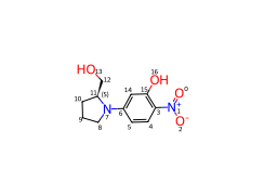 O=[N+]([O-])c1ccc(N2CCC[C@H]2CO)cc1O